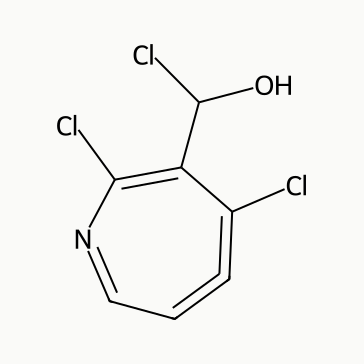 OC(Cl)C1=C(Cl)N=CC=C=C1Cl